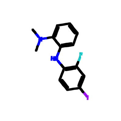 CN(C)c1ccccc1Nc1ccc(I)cc1F